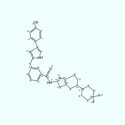 N#Cc1ccc(-c2c[nH]c(Cc3cccc(C(=O)Nc4nc5c(s4)CC(N4CCC(F)(F)CC4)CC5)c3)n2)cc1